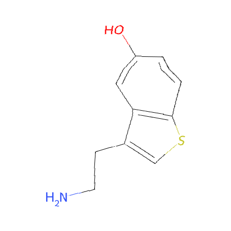 NCCc1csc2ccc(O)cc12